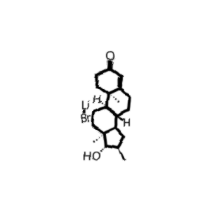 C[C@@H]1CC2[C@H]3CCC4=CC(=O)CC[C@]4(C)[C@@H]3CC[C@]2(C)[C@H]1O.[Li][Br]